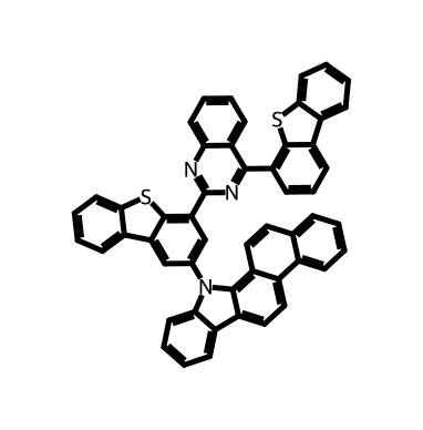 c1ccc2c(c1)ccc1c2ccc2c3ccccc3n(-c3cc(-c4nc(-c5cccc6c5sc5ccccc56)c5ccccc5n4)c4sc5ccccc5c4c3)c12